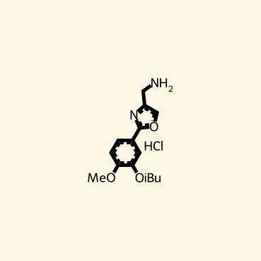 COc1ccc(-c2nc(CN)co2)cc1OCC(C)C.Cl